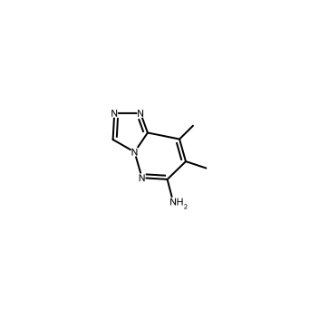 Cc1c(N)nn2cnnc2c1C